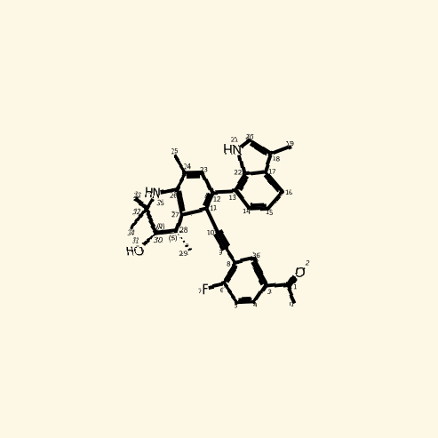 CC(=O)c1ccc(F)c(C#Cc2c(-c3cccc4c(C)c[nH]c34)cc(C)c3c2[C@H](C)[C@@H](O)C(C)(C)N3)c1